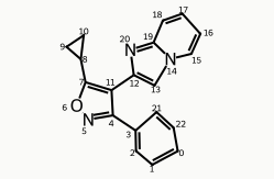 c1ccc(-c2noc(C3CC3)c2-c2cn3ccccc3n2)cc1